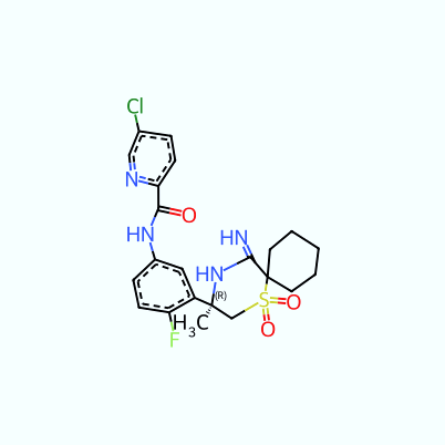 C[C@@]1(c2cc(NC(=O)c3ccc(Cl)cn3)ccc2F)CS(=O)(=O)C2(CCCCC2)C(=N)N1